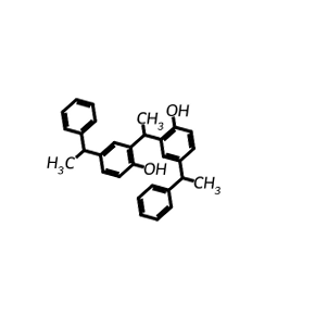 CC(c1ccccc1)c1ccc(O)c(C(C)c2cc(C(C)c3ccccc3)ccc2O)c1